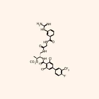 C[C@H](C(=O)O)[C@H](CNC(=O)CNC(=O)c1cccc(NC(=N)N)c1)NC(=O)c1c(Cl)cc(-c2ccc(F)c(C(F)(F)F)c2)cc1Cl